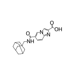 O=C(NCC12CC3CC(CC(C3)C1)C2)c1ccc2nc(C(=O)O)cn2c1